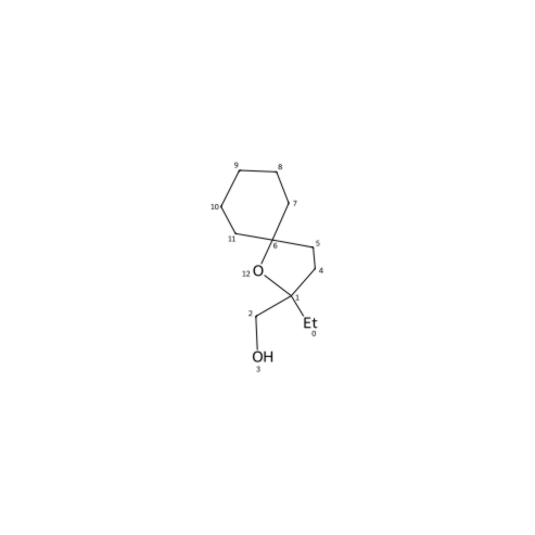 CCC1(CO)CCC2(CCCCC2)O1